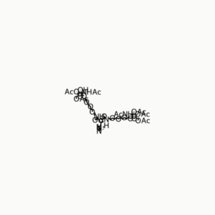 CC(=O)NC1C(OCCOCCOCCOCCNC(=O)c2cc(CN=[N+]=[N-])cc(C(=O)NCCOCCOCCOCCOC3O[C@H](COC(C)=O)[C@H](OC(C)=O)[C@H](OC(C)=O)C3NC(C)=O)c2)O[C@H](COC(C)=O)[C@H](OC(C)=O)[C@@H]1O